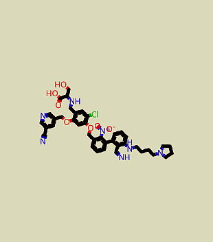 N#Cc1cncc(COc2cc(OCc3cccc(-c4cccc(NCCCCN5CCCC5)c4C=N)c3[N+](=O)[O-])c(Cl)cc2CNC(CO)C(=O)O)c1